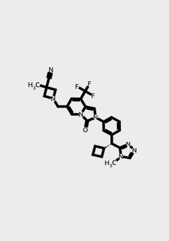 Cn1cnnc1[C@@H](c1cccc(-n2cc3c(C(F)(F)F)cc(CN4CC(C)(C#N)C4)cn3c2=O)c1)C1CCC1